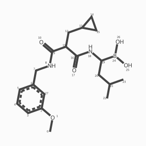 COc1cccc(CNC(=O)C(CC2CC2)C(=O)NC(CC(C)C)B(O)O)c1